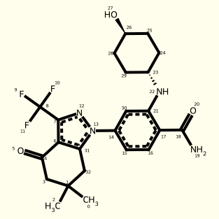 CC1(C)CC(=O)c2c(C(F)(F)F)nn(-c3ccc(C(N)=O)c(N[C@H]4CC[C@H](O)CC4)c3)c2C1